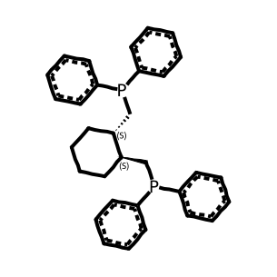 c1ccc(P(C[C@H]2CCCC[C@@H]2CP(c2ccccc2)c2ccccc2)c2ccccc2)cc1